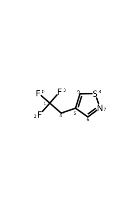 FC(F)(F)[CH]c1cnsc1